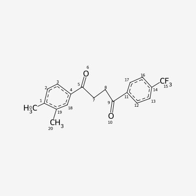 Cc1ccc(C(=O)CCC(=O)c2ccc(C(F)(F)F)cc2)cc1C